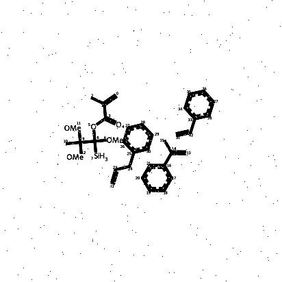 C=C(C)C(=O)OC([SiH3])(OC)C(C)(OC)OC.C=C(C)c1ccccc1.C=CCc1ccccc1.C=Cc1ccccc1